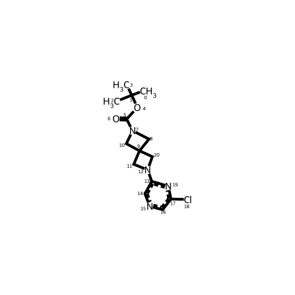 CC(C)(C)OC(=O)N1CC2(C1)CN(c1cncc(Cl)n1)C2